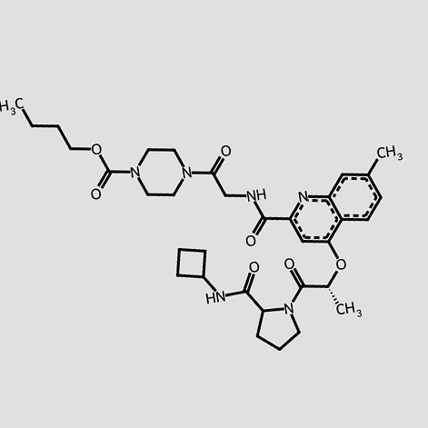 CCCCOC(=O)N1CCN(C(=O)CNC(=O)c2cc(O[C@H](C)C(=O)N3CCCC3C(=O)NC3CCC3)c3ccc(C)cc3n2)CC1